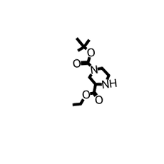 CCOC(=O)C1CN(C(=O)OC(C)(C)C)CCN1